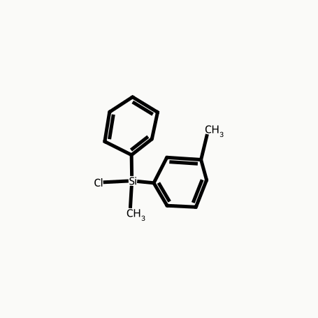 Cc1cccc([Si](C)(Cl)c2ccccc2)c1